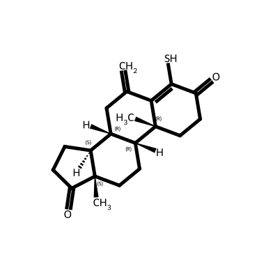 C=C1C[C@@H]2[C@@H](CC[C@]3(C)C(=O)CC[C@@H]23)[C@@]2(C)CCC(=O)C(S)=C12